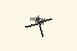 CCCCCCCC[PH](CCCCCCCC)(CCCCCCCC)OP(O)(O)=S